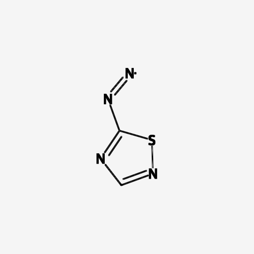 [N]=Nc1ncns1